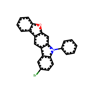 Brc1ccc2c(c1)c1cc3c(cc1n2-c1ccccc1)oc1ccccc13